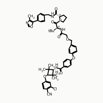 Cc1ncoc1-c1ccc(CNC(=O)[C@@H]2CCCN2C(=O)[C@@H](NC(=O)COCc2ccc(Oc3ccc(C(=O)N[C@H]4C(C)(C)[C@H](Oc5ccc(C#N)c(Cl)c5)C4(C)C)cc3)cc2)C(C)(C)C)cc1